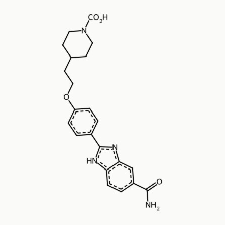 NC(=O)c1ccc2[nH]c(-c3ccc(OCCC4CCN(C(=O)O)CC4)cc3)nc2c1